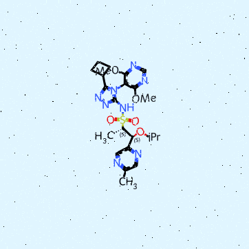 COc1ncnc(OC)c1-n1c(NS(=O)(=O)[C@@H](C)[C@@H](OC(C)C)c2cnc(C)cn2)nnc1C1CCC1